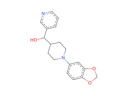 OC(c1cccnc1)C1CCN(c2ccc3c(c2)OCO3)CC1